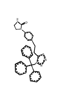 O=C1NCCN1c1ccc(CCc2nnnn2C(c2ccccc2)(c2ccccc2)c2ccccc2)cc1